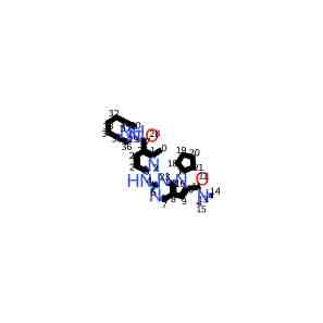 Cc1nc(Nc2ncc3cc(C(=O)N(C)C)n(C4CCCC4)c3n2)ccc1C(=O)N1CC2CCCC(C1)N2